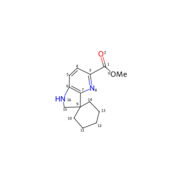 COC(=O)c1ccc2c(n1)C1(CCCCC1)CN2